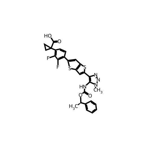 C[C@@H](OC(=O)Nc1c(-c2cc3sc(-c4ccc(C5(C(=O)O)CC5)c(F)c4F)cc3s2)nnn1C)c1ccccc1